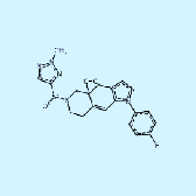 Cn1ncc([S+]([O-])N2CCC3=Cc4c(cnn4-c4ccc(F)cc4)CC3(C=O)C2)n1